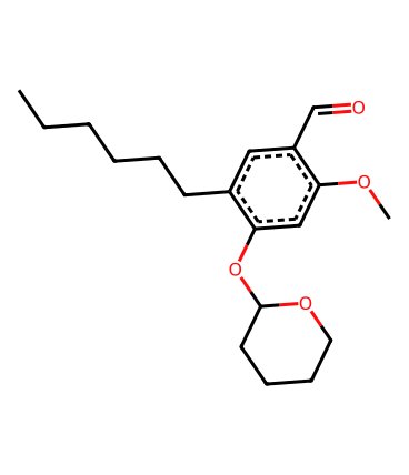 CCCCCCc1cc(C=O)c(OC)cc1OC1CCCCO1